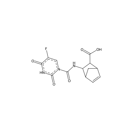 O=C(O)C1C2C=CC(C2)C1NC(=O)n1cc(F)c(=O)[nH]c1=O